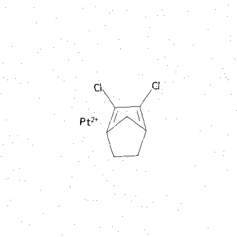 ClC1=C2CCC(=C1Cl)C2.[Pt+2]